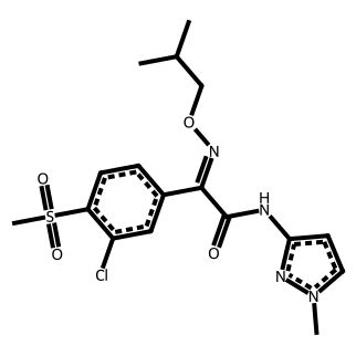 CC(C)CO/N=C(/C(=O)Nc1ccn(C)n1)c1ccc(S(C)(=O)=O)c(Cl)c1